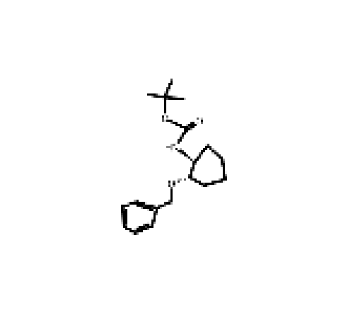 CC(C)(C)OC(=O)N[C@H]1CCCC[C@@H]1OCc1ccccc1